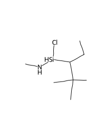 CCC([SiH](Cl)NC)C(C)(C)C